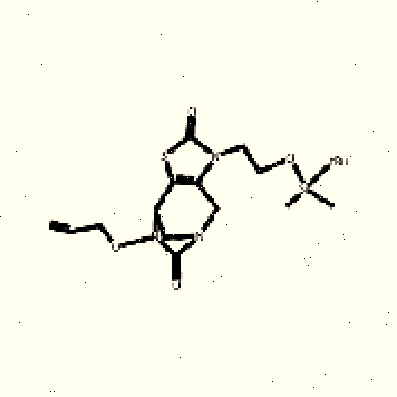 C=CCON1C(=O)N2Cc3c(sc(=O)n3CCO[Si](C)(C)C(C)(C)C)C1C2